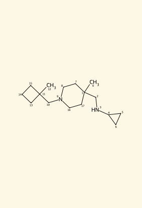 CC1(CNC2CC2)CCN(CC2(C)CCC2)CC1